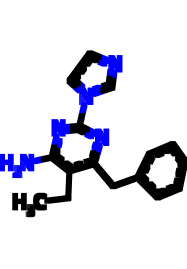 CCc1c(N)nc(-n2ccnc2)nc1Cc1ccccc1